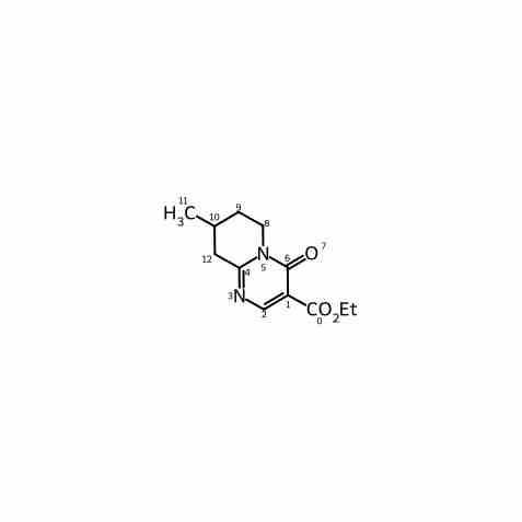 CCOC(=O)c1cnc2n(c1=O)CCC(C)C2